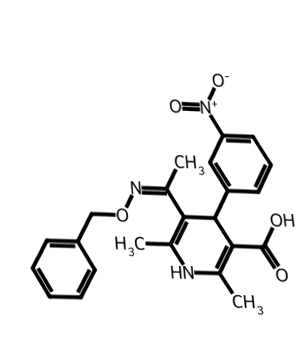 CC(=NOCc1ccccc1)C1=C(C)NC(C)=C(C(=O)O)C1c1cccc([N+](=O)[O-])c1